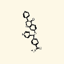 NC(=O)c1ccc(C(Oc2ccc3c(c2)OCC(c2ccccc2)C3=O)c2ccncc2)cc1